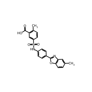 Cc1ccc2oc(-c3ccc(NS(=O)(=O)c4ccc(C)c(C(=O)O)c4)cc3)nc2c1